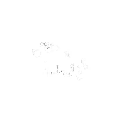 CCN(CC)C(=O)N(C)[C@H](C(=O)N[C@H]1Cc2nc(cs2)-c2ccc3c(c2)c(c(-c2cccnc2[C@H](C)OC)n3CC)CC(C)(C)COC[C@@]2(C=O)CCCN(N2)C1=O)C(C)C